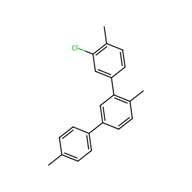 Cc1ccc(-c2ccc(C)c(-c3ccc(C)c(Cl)c3)c2)cc1